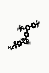 CCS(=O)(=O)c1ccc([C@H](CO)NC(=O)c2ccc(N3CC(c4ccc(C(F)(F)F)cc4)CC[C@H]3COC(F)(F)F)cc2)cn1